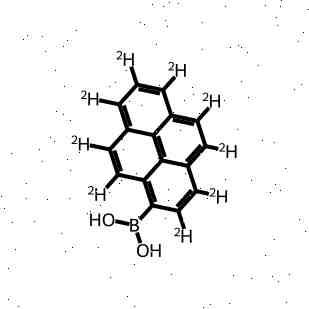 [2H]c1c([2H])c2c([2H])c([2H])c3c([2H])c([2H])c(B(O)O)c4c([2H])c([2H])c(c1[2H])c2c34